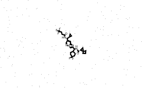 O=C(CCC(F)(F)F)N[C@@H](c1cnn2cc([C@@H](NC(=O)[C@@H]3CC34CCC4)C3CCC(F)(F)CC3)nc2c1)C1CC1